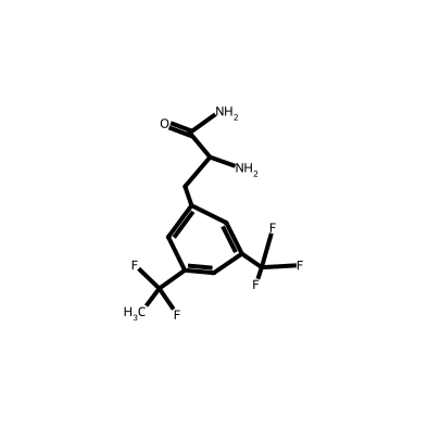 CC(F)(F)c1cc(CC(N)C(N)=O)cc(C(F)(F)F)c1